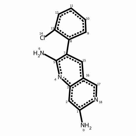 Nc1cc2nc(N)c(-c3ccccc3Cl)cc2cn1